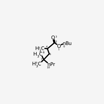 CCCCOC(=O)C(C)CC(C)(C)CCC